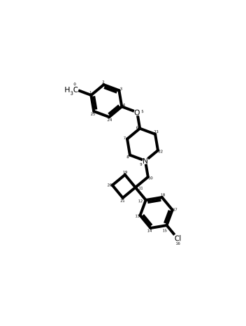 Cc1ccc(OC2CCN(CC3(c4ccc(Cl)cc4)CCC3)CC2)cc1